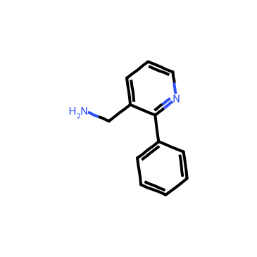 NCc1cccnc1-c1ccccc1